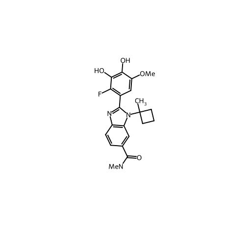 CNC(=O)c1ccc2nc(-c3cc(OC)c(O)c(O)c3F)n(C3(C)CCC3)c2c1